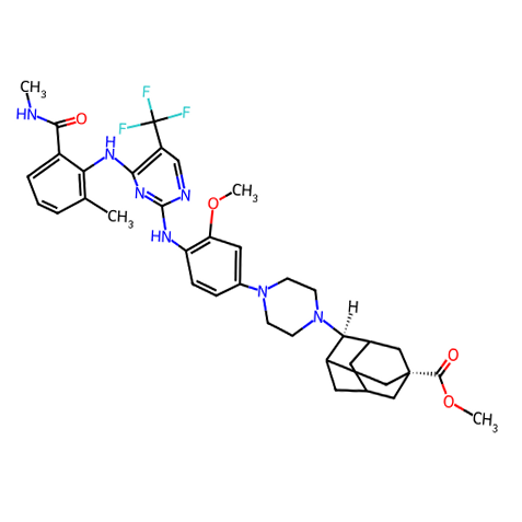 CNC(=O)c1cccc(C)c1Nc1nc(Nc2ccc(N3CCN([C@H]4C5CC6CC4C[C@](C(=O)OC)(C6)C5)CC3)cc2OC)ncc1C(F)(F)F